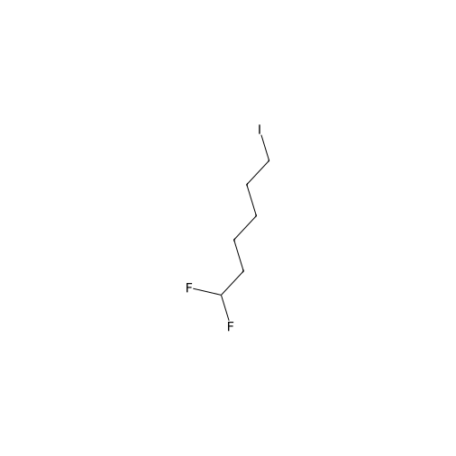 FC(F)CCCCCI